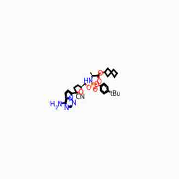 C[C@H](NP(=O)(OC[C@@H]1CCC(C#N)(c2ccc3c(N)ncnn23)O1)Oc1ccc(C(C)(C)C)cc1)C(=O)OC1CC2(CCC2)C1